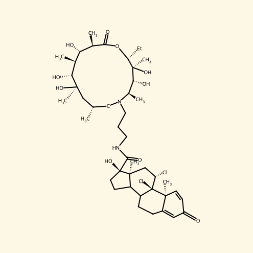 CC[C@H]1OC(=O)[C@H](C)[C@@H](O)[C@H](C)[C@@H](O)[C@](C)(O)C[C@@H](C)CN(CCCNC(=O)[C@@]2(O)CCC3C4CCC5=CC(=O)C=C[C@]5(C)[C@@]4(Cl)[C@@H](Cl)C[C@@]32C)[C@H](C)[C@@H](O)[C@]1(C)O